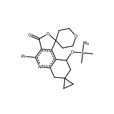 CC(C)c1nc2c(c3c1C(=O)OC31CCOCC1)C(O[Si](C)(C)C(C)(C)C)CC1(CC1)C2